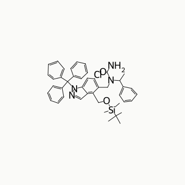 CC(c1ccccc1)N(Cc1c(Cl)cc2c(cnn2C(c2ccccc2)(c2ccccc2)c2ccccc2)c1CO[Si](C)(C)C(C)(C)C)C(N)=O